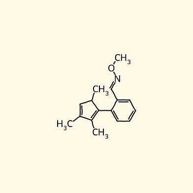 CON=Cc1ccccc1C1=C(C)C(C)=CC1C